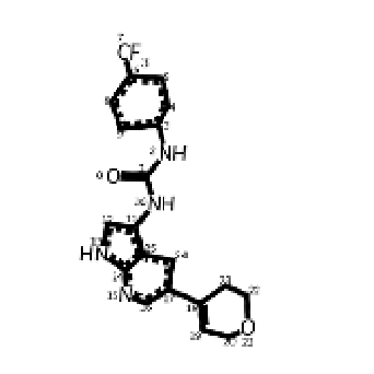 O=C(Nc1ccc(C(F)(F)F)cc1)Nc1c[nH]c2ncc(C3=CCOCC3)cc12